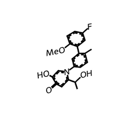 COc1ccc(F)cc1-c1cc(-n2cc(O)c(=O)cc2C(C)O)ccc1C